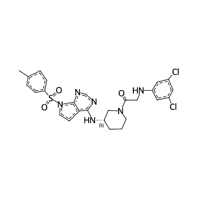 Cc1ccc(S(=O)(=O)n2ccc3c(N[C@H]4CCCN(C(=O)CNc5cc(Cl)cc(Cl)c5)C4)ncnc32)cc1